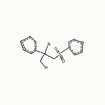 O=S(=O)(CC(Br)(CBr)c1ccccc1)c1ccccc1